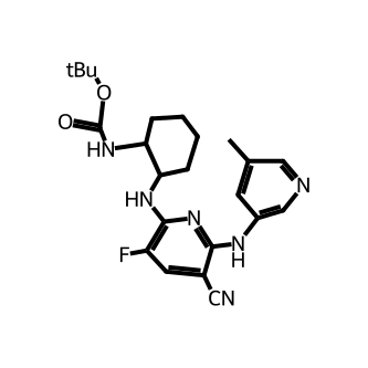 Cc1cncc(Nc2nc(NC3CCCCC3NC(=O)OC(C)(C)C)c(F)cc2C#N)c1